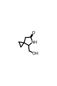 O=C1CC2(CC2)C(CO)N1